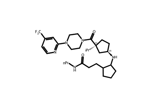 CCCNC(=O)CCC1CCCC1N[C@@H]1CC[C@@](C(=O)N2CCN(c3cc(C(F)(F)F)ccn3)CC2)(C(C)C)C1